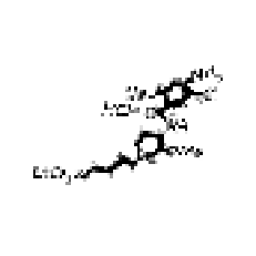 CCOC(=O)CCCCCN1CC[C@@H](NC(=O)c2cc(Cl)c(N)cc2OC)[C@@H](OC)C1.Cl